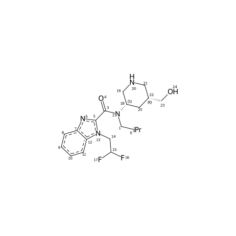 CC(C)CN(C(=O)c1nc2ccccc2n1CC(F)F)[C@@H]1CNC[C@H](CO)C1